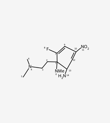 CNC1(CCN(C)C)C(F)=CC([N+](=O)[O-])=CC1N